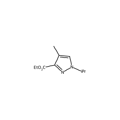 CCOC(=O)c1nn(C(C)C)cc1C